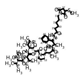 CC[C@H](C)[C@@H]([C@@H](CC(=O)N1CCC[C@H]1[C@H](OC)[C@@H](C)C(=O)N[C@H](C)/C(=N/NC(=O)CCCCCN1C(=O)CC(SC)C1=O)c1ccccc1)OC)N(C)C(=O)[C@@H](NC(=O)[C@H](C(C)C)N(C)C)C(C)C